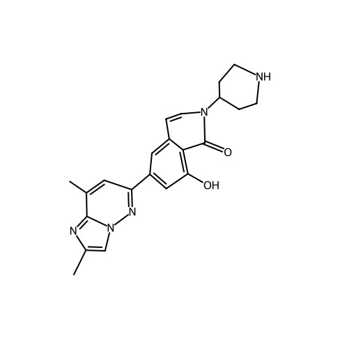 Cc1cn2nc(-c3cc(O)c4c(=O)n(C5CCNCC5)ccc4c3)cc(C)c2n1